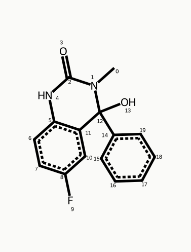 CN1C(=O)Nc2ccc(F)cc2C1(O)c1ccccc1